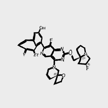 CCc1c(F)ccc2cc(O)cc(-c3ncc4c(N5CCC[C@@]6(CCO6)C5)nc(OC[C@@]56CCCN5C[C@H](F)C6)nc4c3F)c12